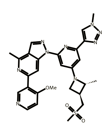 COc1ccncc1-c1cc2c(cnn2-c2cc(N3C[C@H](CS(C)(=O)=O)[C@H]3C)cc(-c3cn(C)nn3)n2)c(C)n1